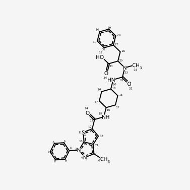 Cc1nn(-c2ccccc2)c2sc(C(=O)NC3CCC(NC(=O)N(C)C(Cc4ccccc4)C(=O)O)CC3)cc12